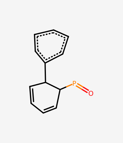 O=PC1C=CC=CC1c1ccccc1